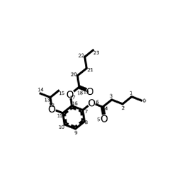 CCCCC(=O)Oc1cccc(OC(C)C)c1OC(=O)CCCC